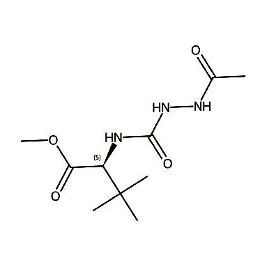 COC(=O)[C@@H](NC(=O)NNC(C)=O)C(C)(C)C